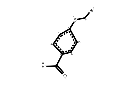 CCC(=O)c1ccc(SCBr)cc1